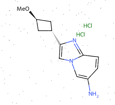 CO[C@H]1C[C@H](c2cn3cc(N)ccc3n2)C1.Cl.Cl